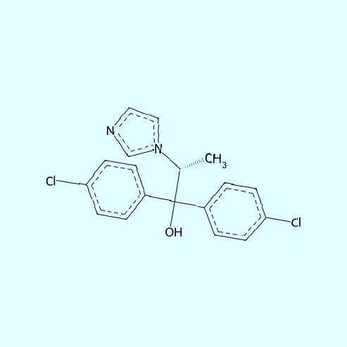 C[C@@H](n1ccnc1)C(O)(c1ccc(Cl)cc1)c1ccc(Cl)cc1